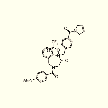 CNc1ccc(C(=O)N2CC(=O)[N+](Cc3ccc(C(=O)N4CC=CC4)cc3)(OC(=O)C(F)(F)F)c3ccccc3C2)cc1